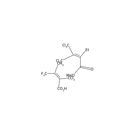 C/C(=C(/C(=O)O)C(Cl)(Cl)Cl)C(F)(F)F.CCC(C(=O)OC)=C(C(Cl)(Cl)Cl)C(Cl)(Cl)Cl